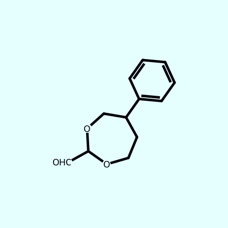 O=CC1OCCC(c2ccccc2)CO1